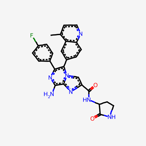 Cc1ccnc2ccc(-c3c(-c4ccc(F)cc4)nc(N)c4nc(C(=O)NC5CCNC5=O)cn34)cc12